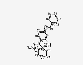 CN(C)CC(c1ccc(OCc2ccccc2)cc1)C1(O)CCOCC1